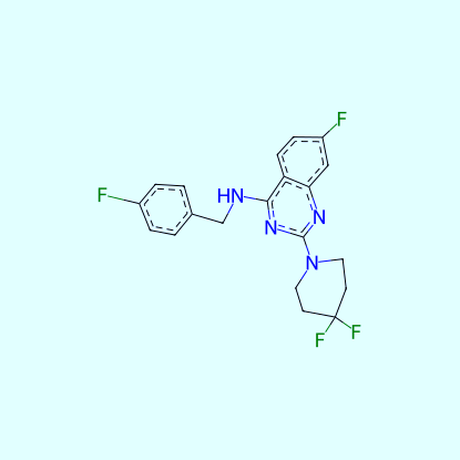 Fc1ccc(CNc2nc(N3CCC(F)(F)CC3)nc3cc(F)ccc23)cc1